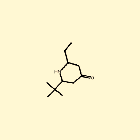 CCC1CC(=O)CC(C(C)(C)C)N1